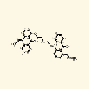 NN=Cc1cccc(OCCOCCOc2cccc(C=NN)c2C(=O)c2ccncc2)c1C(=O)c1ccncc1